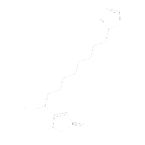 CC(=O)OC(CCCCCCCCc1cccs1)C1=CC(=O)OC1O